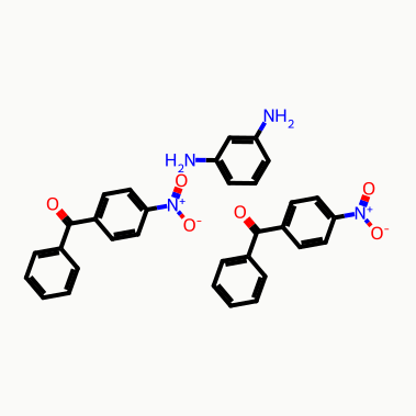 Nc1cccc(N)c1.O=C(c1ccccc1)c1ccc([N+](=O)[O-])cc1.O=C(c1ccccc1)c1ccc([N+](=O)[O-])cc1